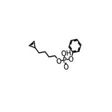 O=P(O)(OCCCCC1C=C1)Oc1ccccc1